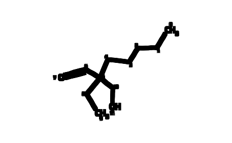 CCCCCC(C=O)(CC)CO